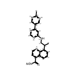 CNC(=S)c1ccnc2c(C(C)CNc3cc(-c4cnc(C)nc4)ncn3)cccc12